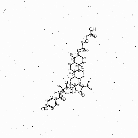 CC(C)C1=C2C3CCC4C(C)(CCC5C(C)C(OC(=O)COCC(=O)O)CCC54C)C3CCC2(NC(=O)C(C)(C)NC(=O)c2ccc(Cl)cc2)CC1=O